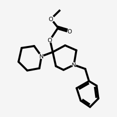 COC(=O)OC1(N2CCCCC2)CCN(Cc2ccccc2)CC1